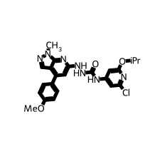 COc1ccc(-c2cc(NNC(=O)Nc3cc(Cl)nc(OC(C)C)c3)nc3c2cnn3C)cc1